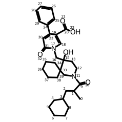 CC(CC1CCCCC1)C(=O)N1CCC(O)(Cn2cc(C(=O)O)c(-c3ccccc3)cc2=O)C2(CCCCC2)C1